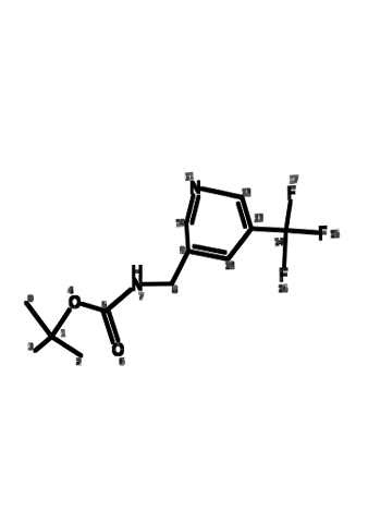 CC(C)(C)OC(=O)NCc1cncc(C(F)(F)F)c1